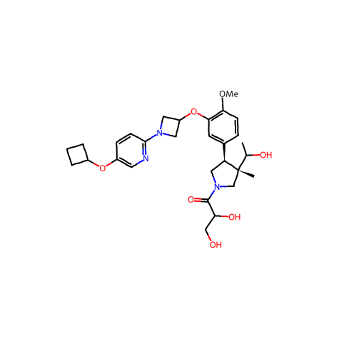 COc1ccc([C@@H]2CN(C(=O)C(O)CO)C[C@@]2(C)C(C)O)cc1OC1CN(c2ccc(OC3CCC3)cn2)C1